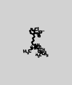 CCC[C@H](CCCCc1ccnc(Cl)c1[N+](=O)[O-])NNC(=O)OC(C)(C)C